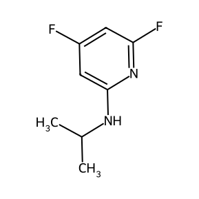 CC(C)Nc1cc(F)cc(F)n1